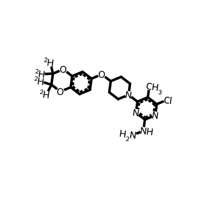 [2H]C1([2H])Oc2ccc(OC3CCN(c4nc(NN)nc(Cl)c4C)CC3)cc2OC1([2H])[2H]